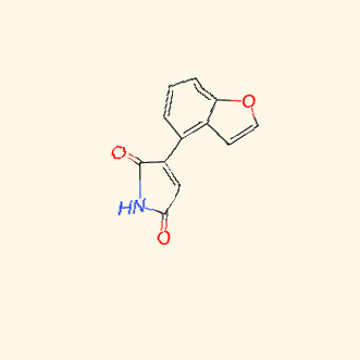 O=C1C=C(c2cccc3occc23)C(=O)N1